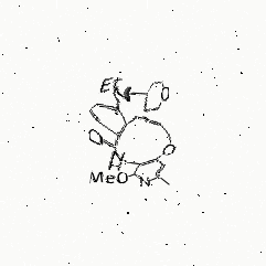 CCN(c1cccc2c1CC=CCOc1cc(C)nc(OC)c1CNC2=O)C1CCOCC1